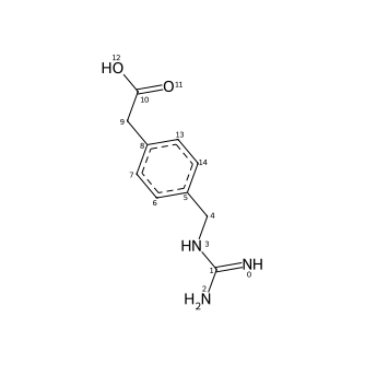 N=C(N)NCc1ccc(CC(=O)O)cc1